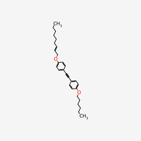 CCCCCCC=CCOc1ccc(C#Cc2ccc(OCCCCCC)cc2)cc1